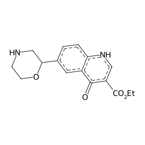 CCOC(=O)c1c[nH]c2ccc(C3CNCCO3)cc2c1=O